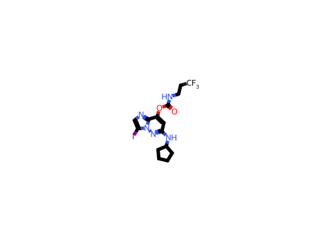 O=C(NCCC(F)(F)F)Oc1cc(NC2CCCC2)nn2c(I)cnc12